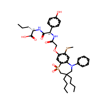 CCCCC1(CCCC)CN(c2ccccc2)c2cc(SC)c(OCC(=O)N[C@@H](C(=O)N[C@@H](CCC)C(=O)O)c3ccc(O)cc3)cc2S(=O)(=O)C1